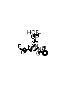 COc1ccccc1C(=O)Nc1cn2cc(C34COC(CF)(C3)C4)nc2c(OC(C)C)n1.O=C(O)C(F)(F)F